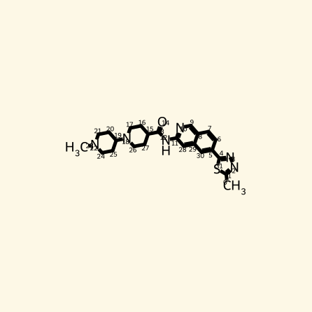 Cc1nnc(-c2ccc3cnc(NC(=O)C4CCN(C5CCN(C)CC5)CC4)cc3c2)s1